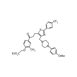 CCOC(=O)COc1ccc(C(=O)CCc2sc(-c3ccc(C(F)(F)F)cc3)nc2CN2CCN(c3ccc(OC)cc3)CC2)cc1C